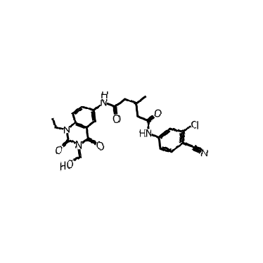 CCn1c(=O)n(CO)c(=O)c2cc(NC(=O)CC(C)CC(=O)Nc3ccc(C#N)c(Cl)c3)ccc21